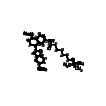 CNc1ncc(-c2nc3cc(OC)ccc3o2)c2cc(NC(=O)CCCCCCO[Si](C)(C)C(C)(C)C)ncc12